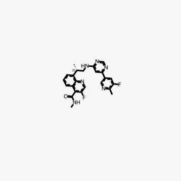 CNC(=O)c1c(F)cnc2c([C@H](C)CNc3cc(-c4cnc(C)c(F)c4)ncn3)cccc12